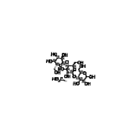 OC[C@H]1O[C@@H](O[C@H]2[C@H](O)[C@@H](O)[C@H](O[C@H]3[C@H](O)[C@@H](O)C(O)O[C@@H]3CO)O[C@@H]2CO)[C@H](O)[C@@H](O)[C@@H]1O.[CH2]C(=O)O